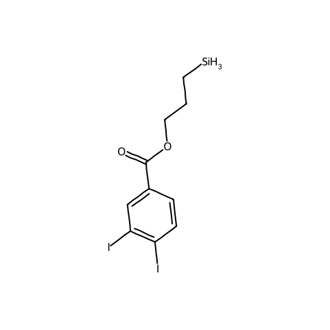 O=C(OCCC[SiH3])c1ccc(I)c(I)c1